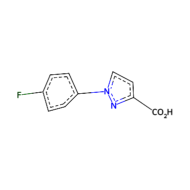 O=C(O)c1ccn(-c2ccc(F)cc2)n1